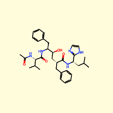 CC(=O)N[C@H](C(=O)N[C@@H](Cc1ccccc1)[C@@H](O)C[C@@H](Cc1ccccc1)C(=O)N[C@@H](CC(C)C)c1ncc[nH]1)C(C)C